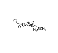 CN(C)CCCNC(=O)c1ccc(N2CCN(C(=O)CCC3CCCCC3)CC2)nc1